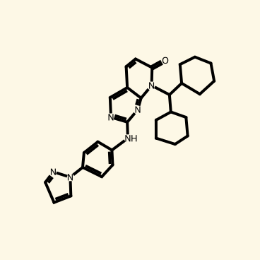 O=c1ccc2cnc(Nc3ccc(-n4cccn4)cc3)nc2n1C(C1CCCCC1)C1CCCCC1